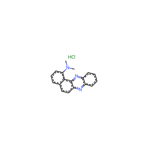 CN(C)c1cccc2ccc3nc4ccccc4nc3c12.Cl